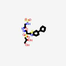 O=[SH](=O)NCc1nnc(C(c2nc3ccc(-c4ccccc4)cc3s2)S(=O)(=O)CC(O)CO)o1